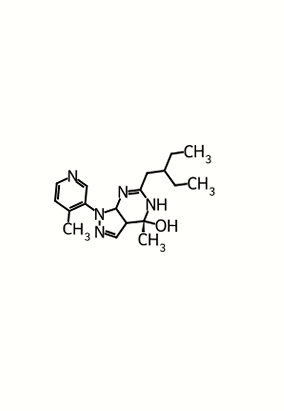 CCC(CC)CC1=NC2C(C=NN2c2cnccc2C)[C@@](C)(O)N1